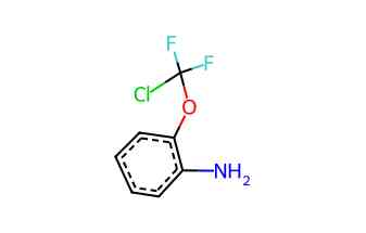 Nc1ccccc1OC(F)(F)Cl